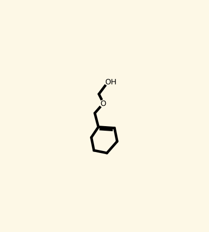 OCOCC1=CCCCC1